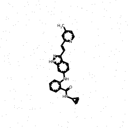 Cc1ccnc(C=Cc2n[nH]c3cc(Nc4ccccc4C(=O)NC4C#C4)ccc23)c1